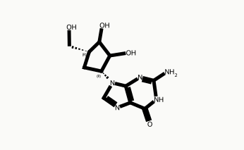 Nc1nc2c(ncn2[C@@H]2C[C@H](CO)C(O)C2O)c(=O)[nH]1